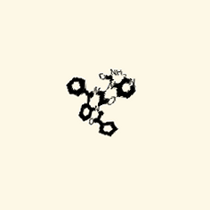 NC(=O)N(c1cccnc1)[C@H]1N=C(c2ccccc2)c2ccccc2N(CC(=O)C2CCCC2)C1=O